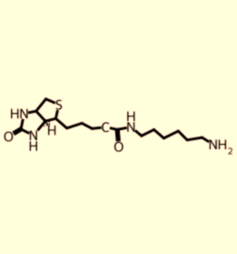 NCCCCCCNC(=O)CCCCC1SCC2NC(=O)N[C@@H]21